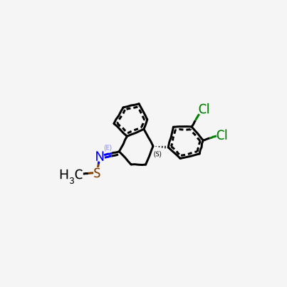 CS/N=C1\CC[C@@H](c2ccc(Cl)c(Cl)c2)c2ccccc21